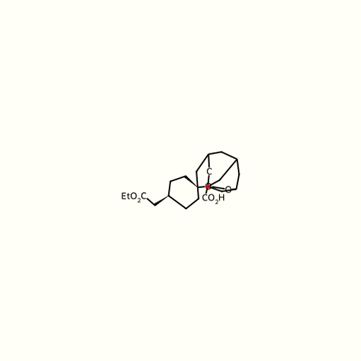 CCOC(=O)C[C@H]1CC[C@@]2(CC1)CC1CC3CC(CC(C(=O)O)(C3)C1)OO2